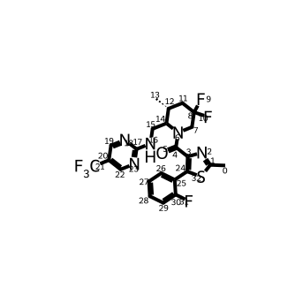 Cc1nc(C(=O)N2CC(F)(F)C[C@@H](C)C2CNc2ncc(C(F)(F)F)cn2)c(-c2ccccc2F)s1